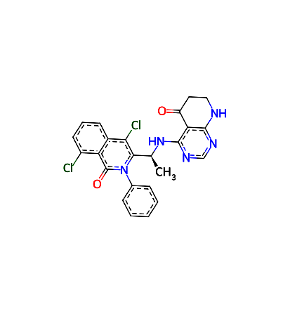 C[C@H](Nc1ncnc2c1C(=O)CCN2)c1c(Cl)c2cccc(Cl)c2c(=O)n1-c1ccccc1